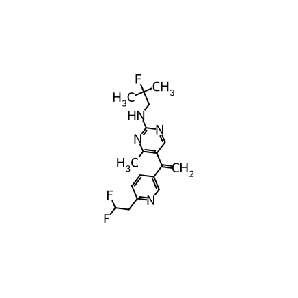 C=C(c1ccc(CC(F)F)nc1)c1cnc(NCC(C)(C)F)nc1C